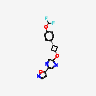 FC(F)Oc1ccc([C@H]2C[C@@H](Oc3cnc(-c4ccno4)cn3)C2)cc1